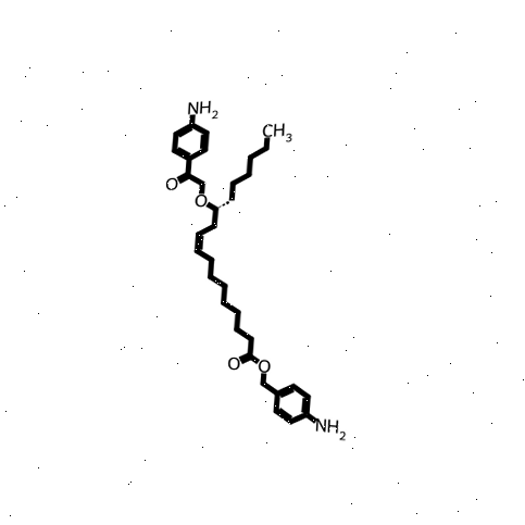 CCCCCC[C@H](C/C=C\CCCCCCCC(=O)OCc1ccc(N)cc1)OCC(=O)c1ccc(N)cc1